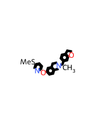 CSc1ccc(Oc2ccc3c(c2)CCN(C(C)c2ccc4c(c2)OCC4)C3)nc1